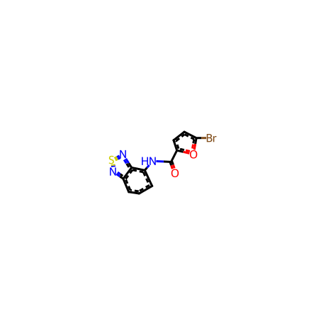 O=C(Nc1cccc2nsnc12)c1ccc(Br)o1